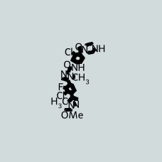 COCCn1ncc(-c2ccc(-c3cnc(C(=O)Nc4ccc(C(=O)N5CCNCC5)c(Cl)c4)n3C)c(F)c2Cl)c1C